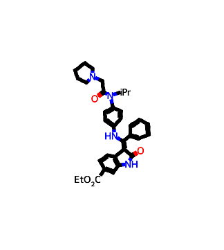 CCOC(=O)c1ccc2c(c1)NC(=O)C2=C(Nc1ccc(N(C(=O)CN2CCCCC2)C(C)C)cc1)c1ccccc1